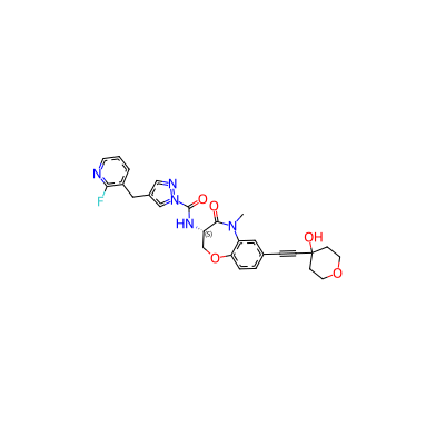 CN1C(=O)[C@@H](NC(=O)n2cc(Cc3cccnc3F)cn2)COc2ccc(C#CC3(O)CCOCC3)cc21